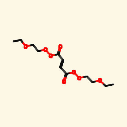 CCOCCOOC(=O)/C=C/C(=O)OOCCOCC